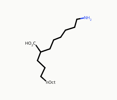 CCCCCCCCCCCC(CCCCCCN)C(=O)O